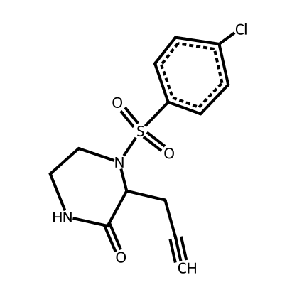 C#CCC1C(=O)NCCN1S(=O)(=O)c1ccc(Cl)cc1